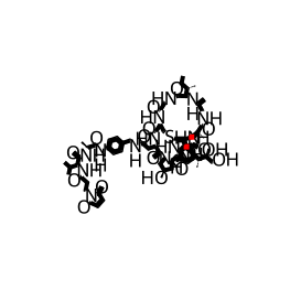 C=C1CNC(=O)[C@@H]2Cc3c([nH]c4ccccc34)SCC(NC(=O)CNC(=O)[C@H]([C@@H](C)CC)N1)C(=O)NC(CC(=O)NCc1ccc(NC(=O)[C@H](C)NC(=O)C(NC(=O)CCN3C(=O)C=CC3=O)C(C)C)cc1)C(=O)N1C[C@H](O)C[C@H]1C(=O)N[C@@H]([C@@H](C)[C@@H](O)CO)C(=O)N2